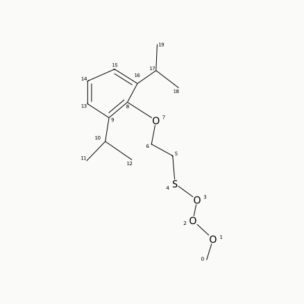 COOOSCCOc1c(C(C)C)cccc1C(C)C